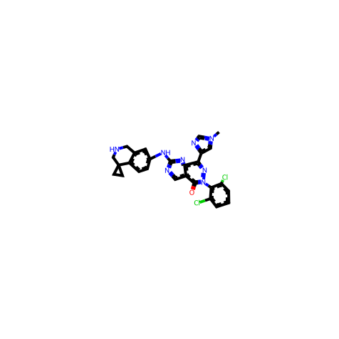 Cn1cnc(-c2nn(-c3c(Cl)cccc3Cl)c(=O)c3cnc(Nc4ccc5c(c4)CNCC54CC4)nc23)c1